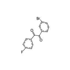 O=C(C(=O)c1cccc(Br)c1)c1ccc(F)cc1